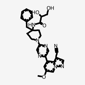 COc1cc(-c2cnc(N3CCC(Cc4ccccc4)(NC(=O)C(O)CO)CC3)cn2)c2c(C#N)cnn2c1